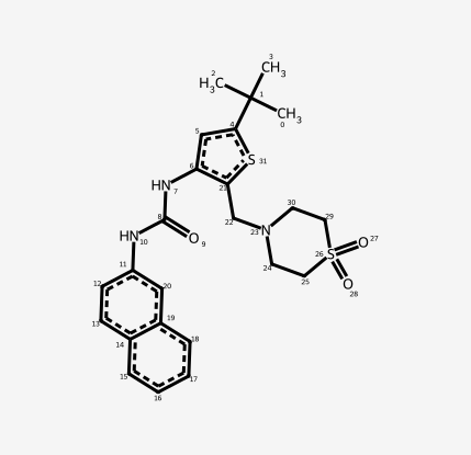 CC(C)(C)c1cc(NC(=O)Nc2ccc3ccccc3c2)c(CN2CCS(=O)(=O)CC2)s1